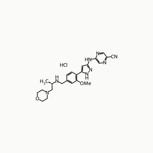 COc1cc(CN[C@H](C)CN2CCOCC2)ccc1-c1cc(Nc2cnc(C#N)cn2)n[nH]1.Cl